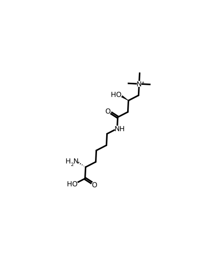 C[N+](C)(C)C[C@H](O)CC(=O)NCCCC[C@@H](N)C(=O)O